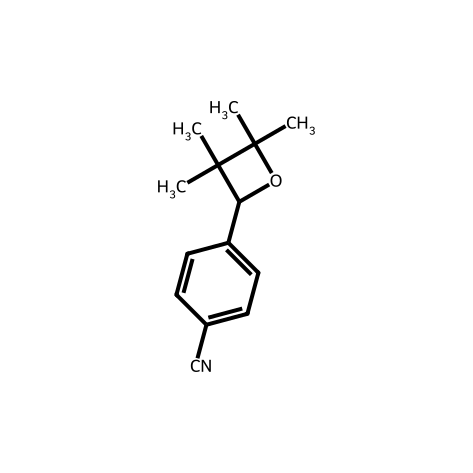 CC1(C)OC(c2ccc(C#N)cc2)C1(C)C